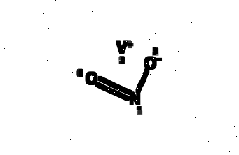 O=N[O-].[V+]